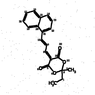 CCC1(C)OC(=O)C(=CC=Cc2cccc3ccccc23)C(=O)O1